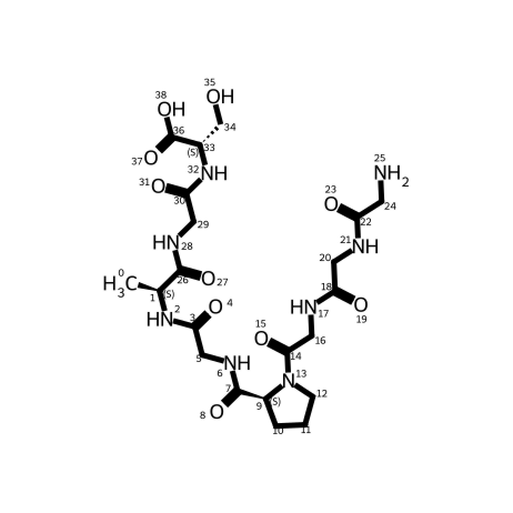 C[C@H](NC(=O)CNC(=O)[C@@H]1CCCN1C(=O)CNC(=O)CNC(=O)CN)C(=O)NCC(=O)N[C@@H](CO)C(=O)O